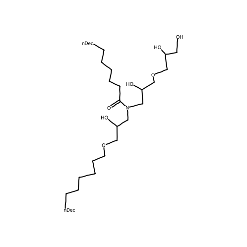 CCCCCCCCCCCCCCCCOCC(O)CN(CC(O)COCC(O)CO)C(=O)CCCCCCCCCCCCCCC